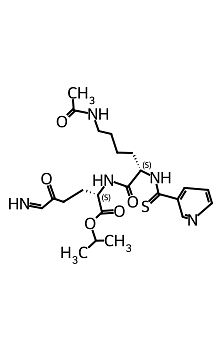 CC(=O)NCCCC[C@H](NC(=S)c1cccnc1)C(=O)N[C@@H](CCC(=O)C=N)C(=O)OC(C)C